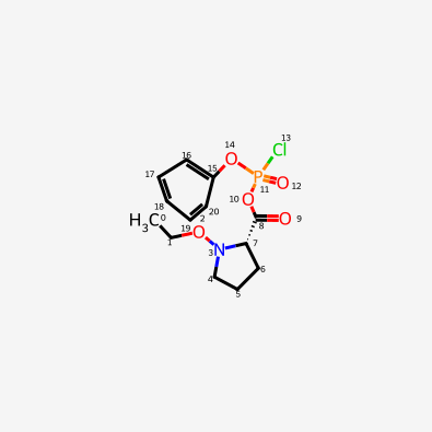 CCON1CCC[C@H]1C(=O)OP(=O)(Cl)Oc1ccccc1